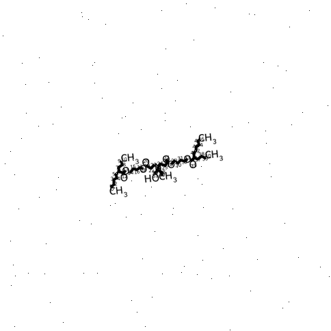 CCCCCCC(CCCC)C(=O)OCCCCOC(=O)CCN(CCC(=O)OCCCCOC(=O)C(CCCC)CCCCCC)C(CC)CO